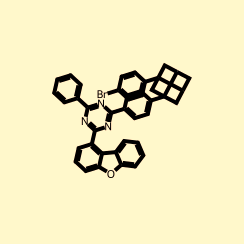 Brc1ccc(C23CC4CC5CC(c6ccc(-c7nc(-c8ccccc8)nc(-c8cccc9oc%10ccccc%10c89)n7)cc6)(C2)C453)cc1